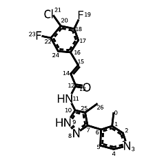 Cc1cnccc1-c1n[nH]c(NC(=O)C=Cc2cc(F)c(Cl)c(F)c2)c1C